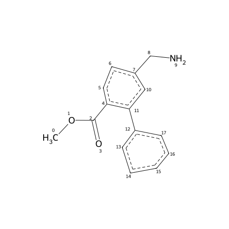 COC(=O)c1ccc(CN)cc1-c1ccccc1